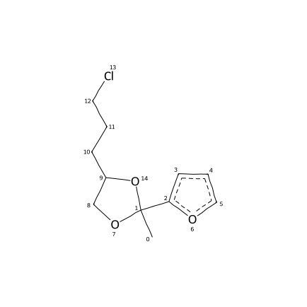 CC1(c2ccco2)OCC(CCCCl)O1